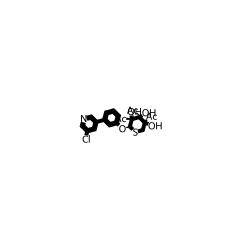 CC(=O)[C@]1(O)[C@@](O)(C(C)=O)CS[C@H](Oc2cccc(-c3cncc(Cl)c3)c2)[C@@]1(O)C(C)=O